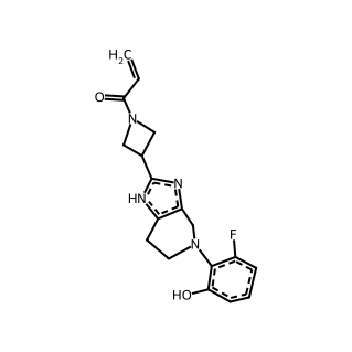 C=CC(=O)N1CC(c2nc3c([nH]2)CCN(c2c(O)cccc2F)C3)C1